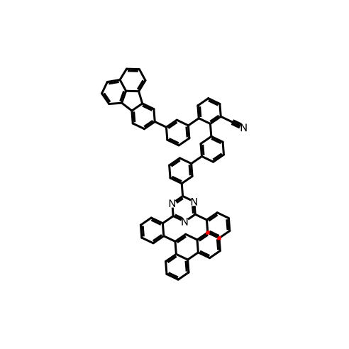 N#Cc1cccc(-c2cccc(-c3ccc4c(c3)-c3cccc5cccc-4c35)c2)c1-c1cccc(-c2cccc(-c3nc(-c4ccccc4)nc(-c4ccccc4-c4cc5ccccc5c5ccccc45)n3)c2)c1